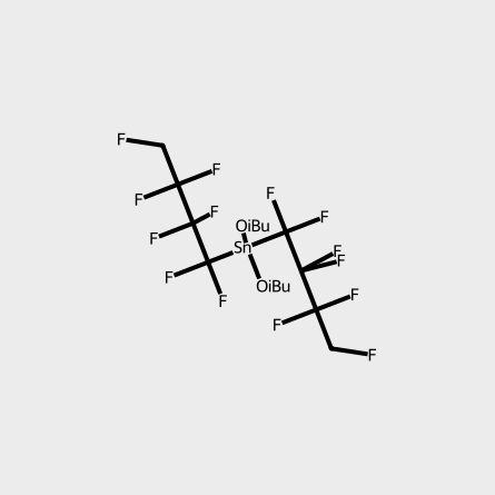 CC(C)C[O][Sn]([O]CC(C)C)([C](F)(F)C(F)(F)C(F)(F)CF)[C](F)(F)C(F)(F)C(F)(F)CF